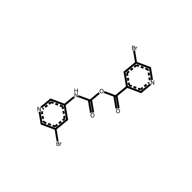 O=C(Nc1cncc(Br)c1)OC(=O)c1cncc(Br)c1